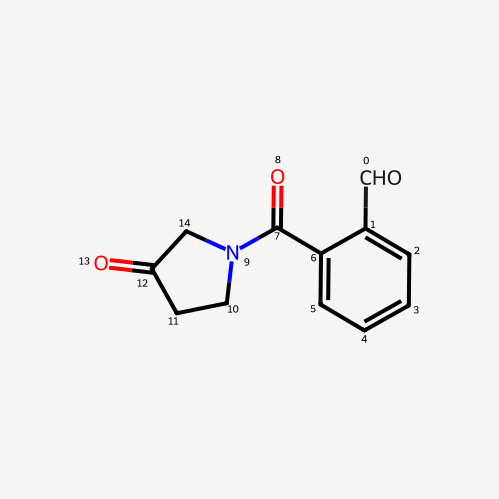 O=Cc1ccccc1C(=O)N1CCC(=O)C1